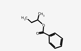 CCC(C)OC(=O)c1ccccc1